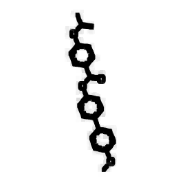 C=C(C)Oc1ccc(C(=O)Oc2ccc(-c3ccc(OC)cc3)cc2)cc1